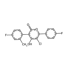 Cc1cc(F)ccc1-c1c(O)c(Cl)c(-c2ccc(F)cc2)oc1=O